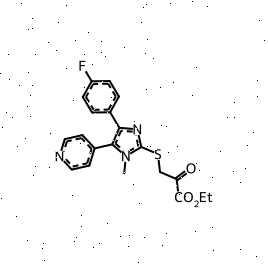 CCOC(=O)C(=O)CSc1nc(-c2ccc(F)cc2)c(-c2ccncc2)n1C